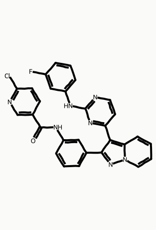 O=C(Nc1cccc(-c2nn3ccccc3c2-c2ccnc(Nc3cccc(F)c3)n2)c1)c1ccc(Cl)nc1